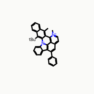 Cc1c2ccccc2c(C(C)(C)C)c2c1c1c3c(cc[n+]1C)cc(-c1ccccc1)c1c4ccccc4n2c13